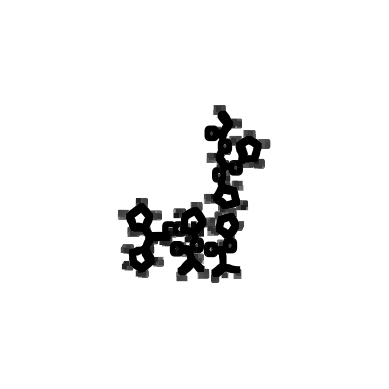 C=C(C)C(=O)OC1CCCC1.C=C(C)C(=O)OC1CCCC1.C=CC(=O)OCC(OC1=CCCC1)OC1=CCCC1.O=C(O)C=C(C1=CCCC1)C1=CCCC1